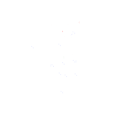 CN(C(=O)O)[C@H]1CCN(c2cc(C#N)cc(Nc3nc(NC4CC4)c4ncc(C#N)n4n3)c2Cl)C[C@H]1OP(=O)(O)O